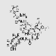 CCOc1cc2ncc(C(N)=O)c(Nc3cccc(CNC(=O)[C@@H](N)Cc4ccco4)c3CC)c2cc1OCC.O=C(O)C(F)(F)F.O=C(O)C(F)(F)F